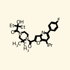 CCC(O)(CC)C(=O)N1CCN(C(=O)c2cc3nc(-c4ccc(F)cc4)cc(C(C)C)c3o2)C(C)(C)C1